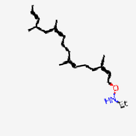 [CH2]CNOCC=C(C)CCC=C(C)CCC=C(C)CC(C)C=CC